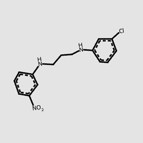 O=[N+]([O-])c1cccc(NCCCNc2cccc(Cl)c2)c1